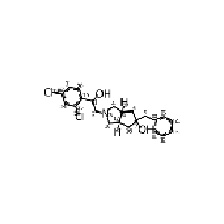 OC(CN1C[C@@H]2CC(O)(Cc3ccccc3)C[C@@H]2C1)c1ccc(Cl)cc1Cl